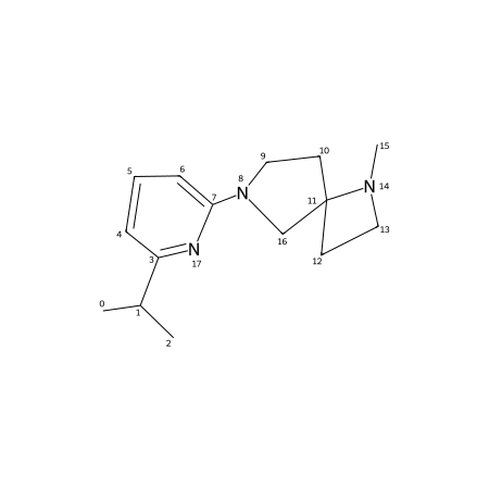 CC(C)c1cccc(N2CCC3(CCN3C)C2)n1